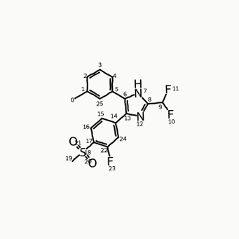 Cc1cccc(-c2[nH]c(C(F)F)nc2-c2ccc(S(C)(=O)=O)c(F)c2)c1